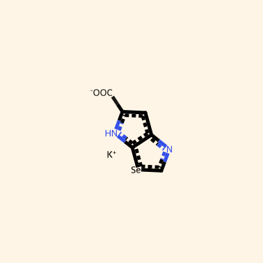 O=C([O-])c1cc2nc[se]c2[nH]1.[K+]